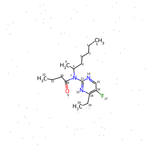 CCCCCC(C)N(C(=O)CCC)c1ncc(F)c(CC)n1